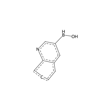 OBc1cnc2ccccc2c1